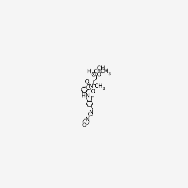 CC(CCC(=O)OC(C)(C)C)N1C(=O)c2cccc(NCc3ccc(CN4CC(N5CCOCC5)C4)cc3F)c2C1=O